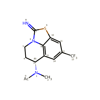 CC(=O)N(C)[C@@H]1CCn2c(=N)sc3cc(C(F)(F)F)cc1c32